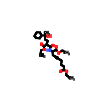 CCOC(=O)CCCC#CCC(NC(=O)C(CCC(C)(O)C1CCCCC1)C(=O)OCC)C(=O)OCC